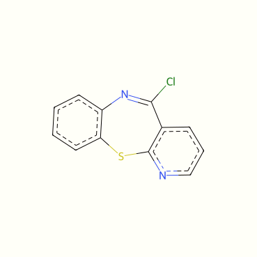 ClC1=Nc2ccccc2Sc2ncccc21